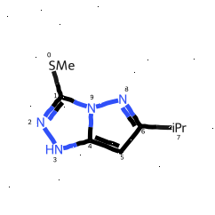 CSc1n[nH]c2cc(C(C)C)nn12